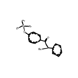 CC(C)[Si](Oc1ccc(C(=O)C(Br)c2ccccc2)cc1)(C(C)C)C(C)C